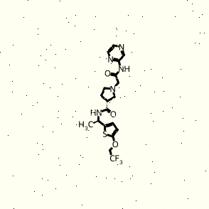 C[C@@H](NC(=O)[C@@H]1CCN(CC(=O)Nc2cnccn2)C1)c1ccc(OCC(F)(F)F)s1